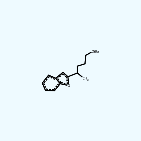 C[C](C)COCCCC(C)c1cc2ccccc2o1